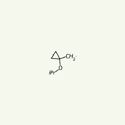 [CH2]C1(OC(C)C)CC1